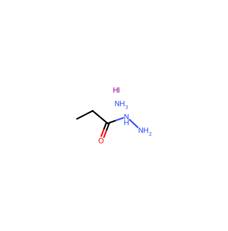 CCC(=O)NN.I.N